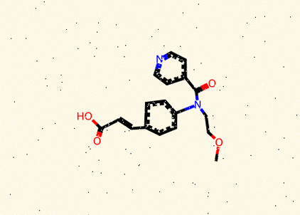 COCCN(C(=O)c1ccncc1)c1ccc(C=CC(=O)O)cc1